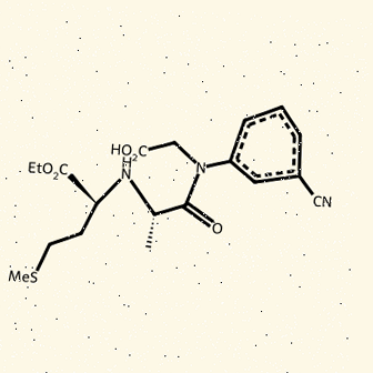 CCOC(=O)[C@H](CCSC)N[C@@H](C)C(=O)N(CC(=O)O)c1cccc(C#N)c1